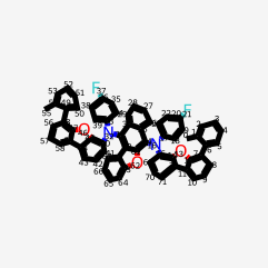 Cc1ccccc1-c1cccc2c1oc1c(N(c3ccc(F)cc3)c3c4ccccc4c(N(c4ccc(F)cc4)c4cccc5c4oc4c(-c6ccccc6C)cccc45)c4c3oc3ccccc34)cccc12